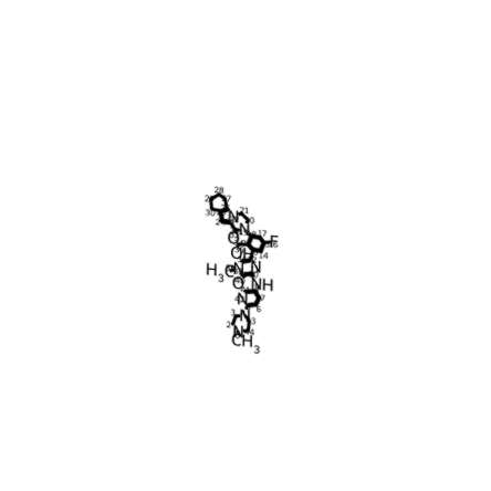 CN1CCN(c2ccc(Nc3nc(-c4cc(F)cc(N5CCn6c(cc7c6CCCC7)C5=O)c4CO)cn(C)c3=O)cn2)CC1